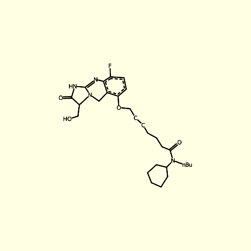 CCCCN(C(=O)CCCCCCOc1ccc(F)c2c1CN1C(=N2)NC(=O)C1CO)C1CCCCC1